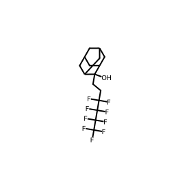 OC1(CCC(F)(F)C(F)(F)C(F)(F)C(F)(F)F)C2CC3CC(C2)CC1C3